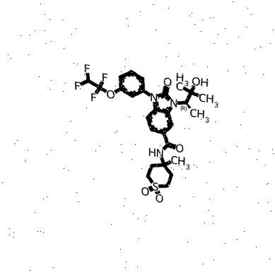 C[C@@H](n1c(=O)n(-c2cccc(OC(F)(F)C(F)F)c2)c2ccc(C(=O)NC3(C)CCS(=O)(=O)CC3)cc21)C(C)(C)O